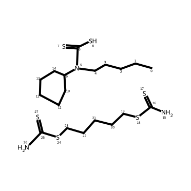 CCCCCN(C(=S)S)C1CCCCC1.NC(=S)SCCCCCSC(N)=S